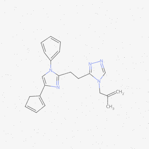 C=C(C)Cn1cnnc1CCc1nc(C2=CC=CC2)cn1-c1ccccc1